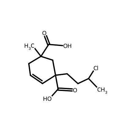 CC(Cl)CCC1(C(=O)O)C=CCC(C)(C(=O)O)C1